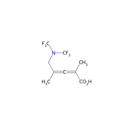 CC(=C=C(C)C(=O)O)CN(C(F)(F)F)C(F)(F)F